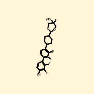 CCCC1(F)COC(C2CCC(c3ccc(-c4ccc(CC)c(F)c4F)c(F)c3F)CC2)OC1